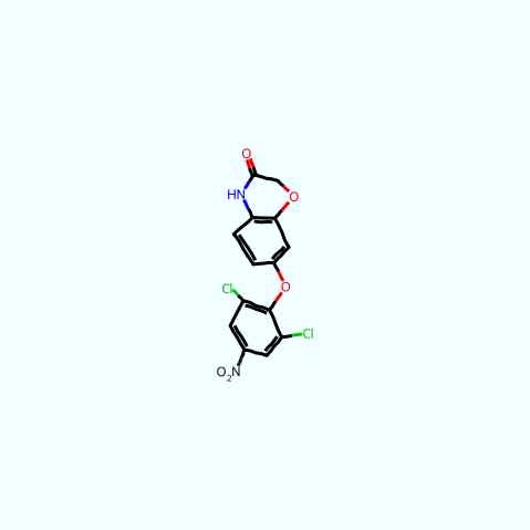 O=C1COc2cc(Oc3c(Cl)cc([N+](=O)[O-])cc3Cl)ccc2N1